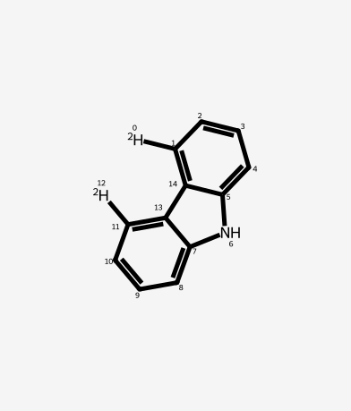 [2H]c1cccc2[nH]c3cccc([2H])c3c12